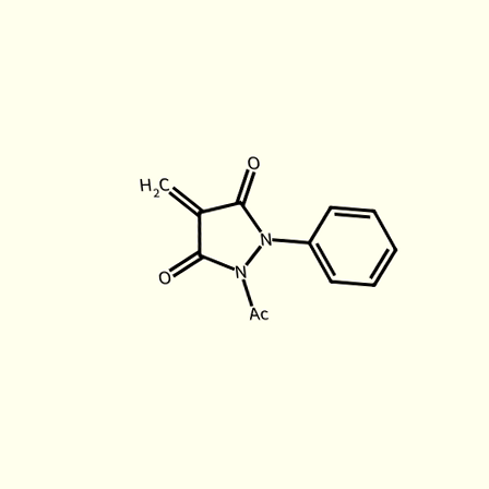 C=C1C(=O)N(C(C)=O)N(c2ccccc2)C1=O